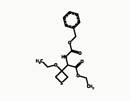 CCOC(=O)C(NC(=O)OCc1ccccc1)C1(OCC)CSC1